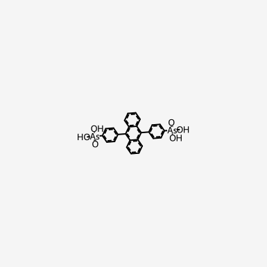 O=[As](O)(O)c1ccc(-c2c3ccccc3c(-c3ccc([As](=O)(O)O)cc3)c3ccccc23)cc1